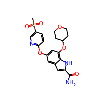 CS(=O)(=O)c1ccc(Oc2cc(OC3CCOCC3)c3[nH]c(C(N)=O)cc3c2)nc1